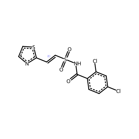 O=C(NS(=O)(=O)/C=C/c1nccs1)c1ccc(Cl)cc1Cl